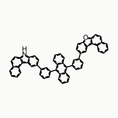 c1cc(-c2ccc3[nH]c4ccc5ccccc5c4c3c2)cc(-c2c3ccccc3c(-c3cccc(-c4ccc5oc6ccc7ccccc7c6c5c4)c3)c3ccccc23)c1